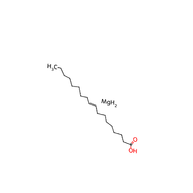 CCCCCCCCC=CCCCCCCCC(=O)O.[MgH2]